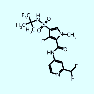 Cn1cc(S(=O)(=O)NC(C)(C)C(F)(F)F)c(F)c1C(=O)Nc1ccnc(C(F)F)c1